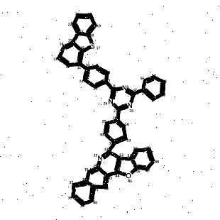 c1ccc(-c2nc(-c3ccc(-c4cccc5c4sc4ccccc45)cc3)nc(-c3ccc(-c4nc5cc6ccccc6cc5c5oc6ccccc6c45)cc3)n2)cc1